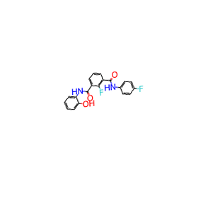 O=C(Nc1ccc(F)cc1)c1cccc(C(=O)Nc2ccccc2O)c1F